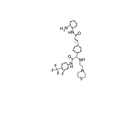 Nc1ccccc1NC(=O)/C=C/c1ccc(C(NCCN2CCSCC2)C(=O)Nc2ccc(C(F)(F)F)c(F)c2)cc1